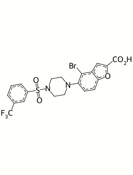 O=C(O)c1cc2c(Br)c(N3CCN(S(=O)(=O)c4cccc(C(F)(F)F)c4)CC3)ccc2o1